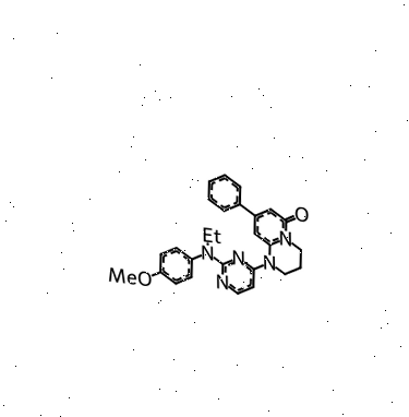 CCN(c1ccc(OC)cc1)c1nccc(N2CCCn3c2cc(-c2ccccc2)cc3=O)n1